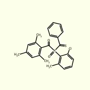 Cc1cc(C)c(C(=O)P(=O)(C(=S)c2ccccc2)c2c(C)cccc2Cl)c(C)c1